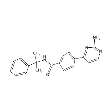 CC(C)(NC(=O)c1ccc(-c2ccnc(N)n2)cc1)c1ccccc1